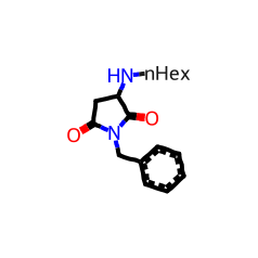 CCCCCCNC1CC(=O)N(Cc2ccccc2)C1=O